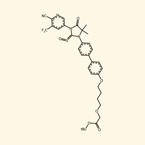 CC(C)(C)OC(=O)COCCCCOc1ccc(-c2ccc(N3C(=S=O)N(c4cnc(C#N)c(C(F)(F)F)c4)C(=O)C3(C)C)cc2)cc1